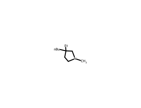 CCCCC1(CC)CCN(C)C1